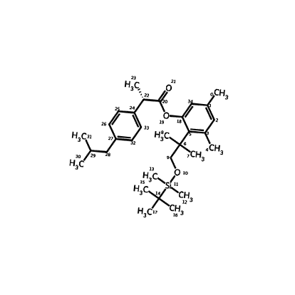 Cc1cc(C)c(C(C)(C)CO[Si](C)(C)C(C)(C)C)c(OC(=O)[C@@H](C)c2ccc(CC(C)C)cc2)c1